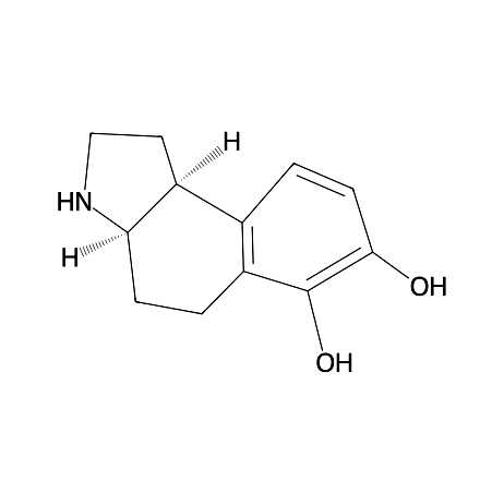 Oc1ccc2c(c1O)CC[C@H]1NCC[C@@H]21